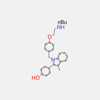 CCCCNCCOc1ccc(Cn2c(-c3ccc(O)cc3)c(C)c3ccccc32)cc1